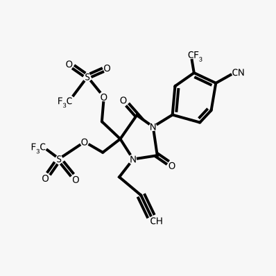 C#CCN1C(=O)N(c2ccc(C#N)c(C(F)(F)F)c2)C(=O)C1(COS(=O)(=O)C(F)(F)F)COS(=O)(=O)C(F)(F)F